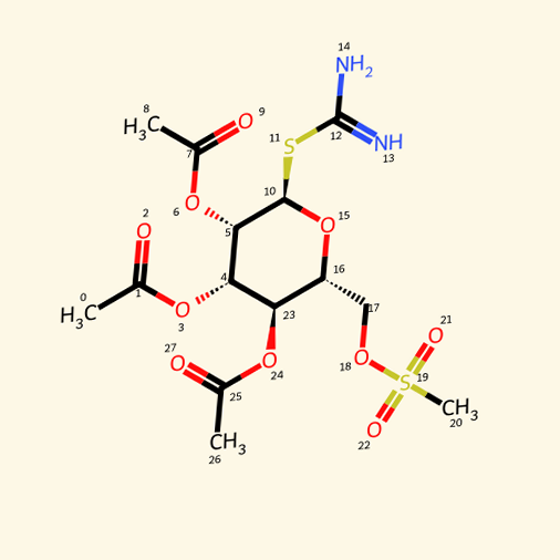 CC(=O)O[C@@H]1[C@H](OC(C)=O)[C@@H](SC(=N)N)O[C@H](COS(C)(=O)=O)[C@H]1OC(C)=O